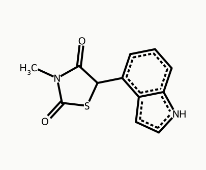 CN1C(=O)SC(c2cccc3[nH]ccc23)C1=O